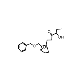 CCC(O)C(=O)CCC1C2CCC(O2)C1COCc1ccccc1